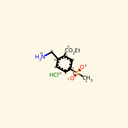 CCOC(=O)c1cc(S(C)(=O)=O)ccc1CN.Cl